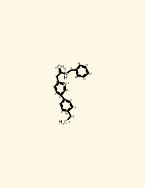 C=C(Cc1ccc(-c2ccc(CC)cc2)cn1)NCc1ccccc1